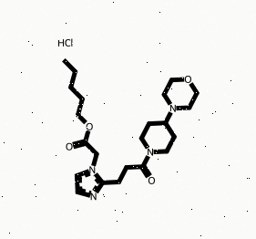 CCCCCOC(=O)Cn1ccnc1CCC(=O)N1CCC(N2CCOCC2)CC1.Cl